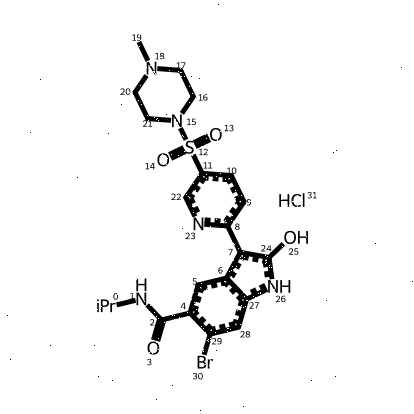 CC(C)NC(=O)c1cc2c(-c3ccc(S(=O)(=O)N4CCN(C)CC4)cn3)c(O)[nH]c2cc1Br.Cl